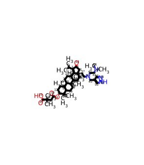 CC(C)C1=C2[C@H]3CCC4[C@@]5(C)CC[C@H](OC(=O)CC(C)(C)C(=O)O)C(C)(C)C5CC[C@@]4(C)[C@]3(C)CC[C@@]2(CCN(CCN(C)C)Cc2cn[nH]c2)CC1=O